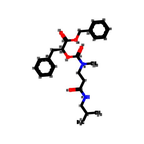 CC(C)CNC(=O)CCN(C)C(=O)O[C@@H](Cc1ccccc1)C(=O)OCc1ccccc1